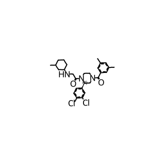 Cc1cc(C)cc(C(=O)N2CCN(C(=O)CNC3CCCC(C)C3)[C@H](c3ccc(Cl)c(Cl)c3)C2)c1